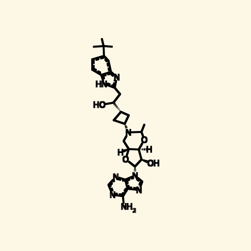 CC1O[C@H]2[C@@H](O)[C@H](n3cnc4c(N)ncnc43)O[C@@H]2CN1[C@H]1C[C@@H](C(O)Cc2nc3cc(C(C)(C)C)ccc3[nH]2)C1